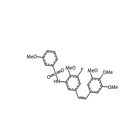 COc1cccc(S(=O)(=O)Nc2cc(/C=C\c3cc(OC)c(OC)c(OC)c3)cc(F)c2OC)c1